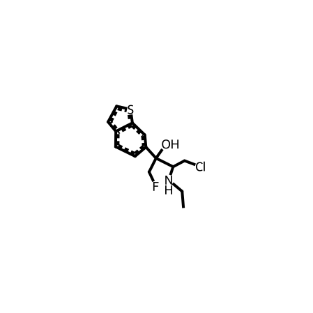 CCNC(CCl)C(O)(CF)c1ccc2ccsc2c1